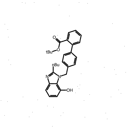 CCCCc1nc2cccc(O)c2n1Cc1ccc(-c2ccccc2C(=O)OC(C)(C)C)cc1